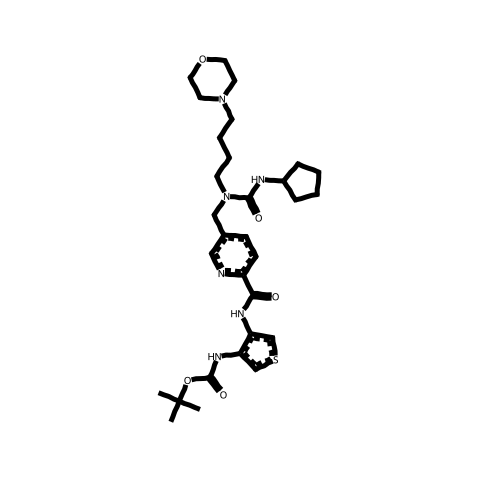 CC(C)(C)OC(=O)Nc1cscc1NC(=O)c1ccc(CN(CCCCN2CCOCC2)C(=O)NC2CCCC2)cn1